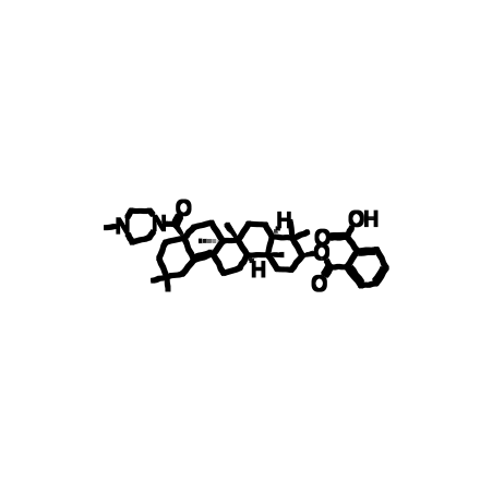 CN1CCN(C(=O)[C@]23CCC(C)(C)CC2=C2CC[C@@H]4[C@@]5(C)CC[C@H](OC(=O)c6ccccc6C(=O)O)C(C)(C)[C@@H]5CC[C@@]4(C)[C@]2(C)CC3)CC1